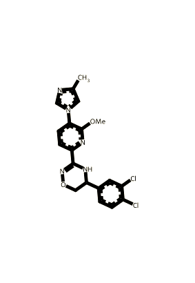 COc1nc(C2=NOCC(c3ccc(Cl)c(Cl)c3)N2)ccc1-n1cnc(C)c1